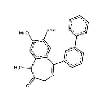 COc1cc2c(cc1OC)N(C)C(=O)CN=C2c1cccc(-c2ccccc2)c1